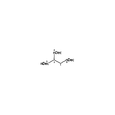 CCCCCCCCCCCC(CCCCCCCCCC)CCCCCCCCCC